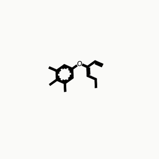 C=CC(=CCC)Oc1cc(C)c(C)c(C)c1